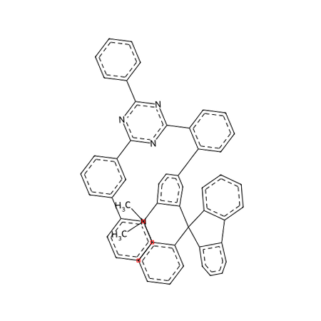 CC1(C)c2ccccc2C2(c3ccccc3-c3ccccc32)c2cc(-c3ccccc3-c3nc(-c4ccccc4)nc(-c4cccc(-c5ccccn5)c4)n3)ccc21